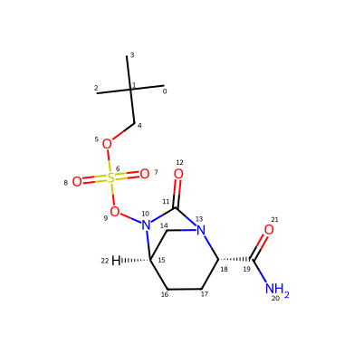 CC(C)(C)COS(=O)(=O)ON1C(=O)N2C[C@H]1CC[C@H]2C(N)=O